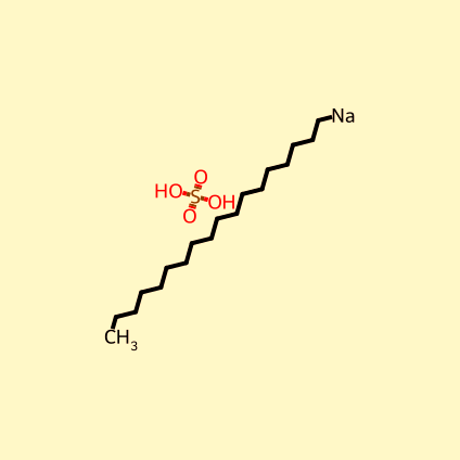 CCCCCCCCCCCCCCCCC[CH2][Na].O=S(=O)(O)O